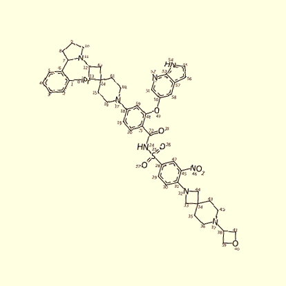 CC(C)c1ccccc1C1CCCN1C1CC2(CCN(c3ccc(C(=O)NS(=O)(=O)c4ccc(N5CC6(CCN(C7COC7)CC6)C5)c([N+](=O)[O-])c4)c(Oc4cnc5[nH]ccc5c4)c3)CC2)C1